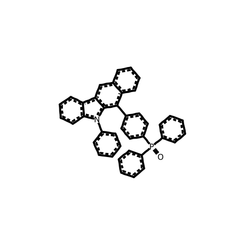 O=P(c1ccccc1)(c1ccccc1)c1ccc(-c2c3ccccc3cc3c4ccccc4n(-c4ccccc4)c23)cc1